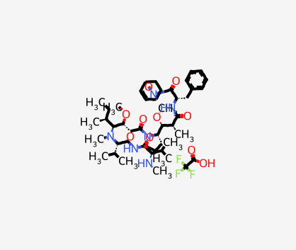 CC[C@H](C)[C@@H]([C@@H](CC(=O)N1CCC[C@H]1[C@H](OC)[C@@H](C)C(=O)N[C@@H](Cc1ccccc1)C(=O)N1OC2C=CC1CC2)OC)N(C)[C@H](C(=O)NC(=O)[C@@H](NC)C(C)C)C(C)C.O=C(O)C(F)(F)F